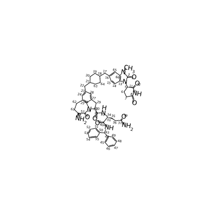 Cn1c(=O)n(C2CCC(=O)NC2=O)c2ccc(CC3CCC(Cc4cc5c6c(c4)C[C@@H](C(=O)N[C@@H](CCC(N)=O)C(=O)NC(c4ccccc4)c4ccccc4)N6C(=O)[C@@H](N)CC5)CC3)cc21